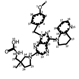 COc1ccc(Cn2nc(N3CCCc4ncccc43)c3ncc(N4CCC(C)(CNC(=O)O)C4)nc32)cc1